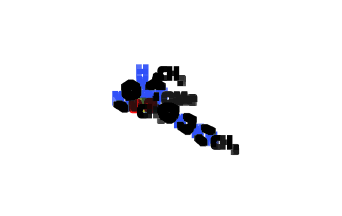 C=Cc1cnc(Nc2ccc(N3CCC(N4CCN(C)CC4)CC3)cc2OC)nc1Nc1ccc2nccnc2c1NS(C)(=O)=O